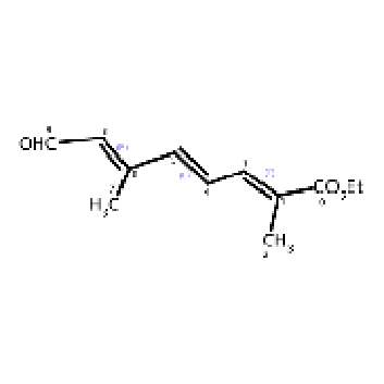 CCOC(=O)/C(C)=C/C=C/C(C)=C/C=O